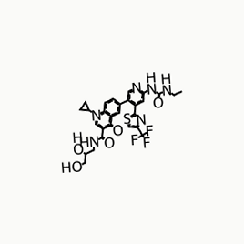 CCNC(=O)Nc1cc(-c2nc(C(F)(F)F)cs2)c(-c2ccc3c(c2)c(=O)c(C(=O)NCC(O)CO)cn3C2CC2)cn1